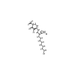 C.C=C(C)C1CCC(CCCCCCCCCCCC)=C(C)C1C